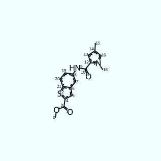 COC(=O)c1cc2cc(NC(=O)c3cc(C)cn3C)ccc2s1